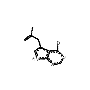 C=C(C)Cc1c[nH]c2ncnc(Cl)c12